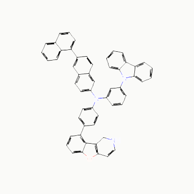 C1=Cc2oc3cccc(-c4ccc(N(c5cccc(-n6c7ccccc7c7ccccc76)c5)c5ccc6cc(-c7cccc8ccccc78)ccc6c5)cc4)c3c2CN1